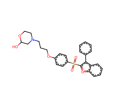 O=S(=O)(c1ccc(OCCCN2CCOC(O)C2)cc1)c1oc2ccccc2c1-c1ccccc1